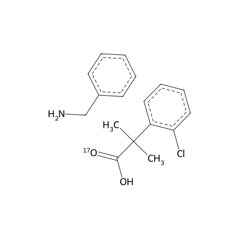 CC(C)(C(O)=[17O])c1ccccc1Cl.NCc1ccccc1